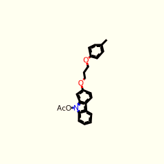 CC(=O)On1c2ccccc2c2ccc(OCCCOc3ccc(C)cc3)cc21